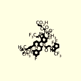 C[S+]([O-])N(C(=O)OCCC(=O)O)c1nn(CC(F)(F)F)c2c(-c3ccc(C#CC(C)(C)[S+](C)[O-])nc3C(Cc3cc(F)cc(F)c3)NC(=O)Cn3nc(C(F)(F)F)c4c3C(F)(F)CC4)ccc(Cl)c12